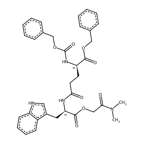 CN(C)C(=O)COC(=O)[C@@H](Cc1c[nH]c2ccccc12)NC(=O)CC[C@@H](NC(=O)OCc1ccccc1)C(=O)OCc1ccccc1